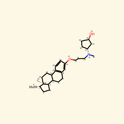 CN[C@H]1CCC2C3CCc4cc(OCCCN(C)[C@@H]5CC[C@@H](O)C5)ccc4C3CC[C@@]21C